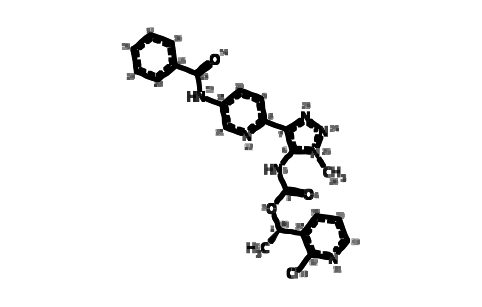 C[C@@H](OC(=O)Nc1c(-c2ccc(NC(=O)c3ccccc3)cn2)nnn1C)c1cccnc1Cl